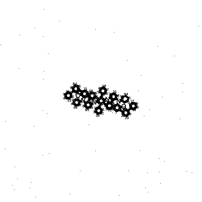 C1=CC(N(c2cccc3c2oc2c(-c4ccccc4)cccc23)c2cccc3c2c2cccc4c5c(-c6ccccc6)c6c(c(-c7ccccc7)c5n3c24)c2cccc3c4c(N(c5ccccc5)c5cccc7c5oc5c(-c8ccccc8)cccc57)cccc4n6c32)=CCC1